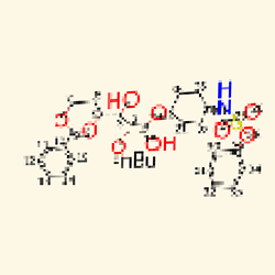 CCCCO[C@H](C(O)[C@H]1CCOC(c2ccccc2)O1)[C@@H](O)OC1CCC(NS(=O)(=O)Oc2ccccc2)CC1